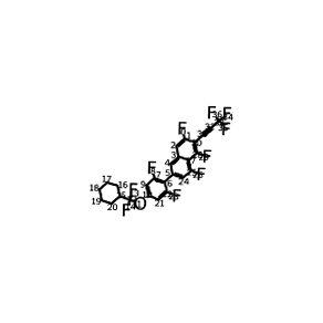 Fc1cc2cc(-c3c(F)cc(OC(F)(F)C4CCCCC4)cc3F)cc(F)c2c(F)c1C#CC(F)(F)F